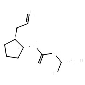 C=CC[C@@H]1CCC[C@H]1OC(=O)N[C@H](C(=O)O)C(C)(C)C